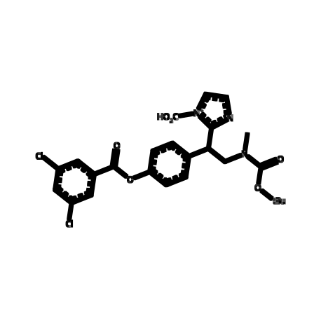 CN(CC(c1ccc(OC(=O)c2cc(Cl)cc(Cl)c2)cc1)c1nccn1C(=O)O)C(=O)OC(C)(C)C